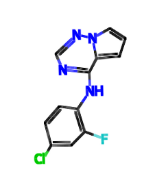 Fc1cc(Cl)ccc1Nc1ncnn2cccc12